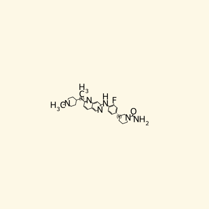 C[C@H](c1ccc2cnc(Nc3ccc([C@H]4CCCN(C(N)=O)C4)cc3F)cc2n1)C1CCN(C)CC1